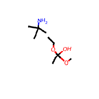 CC(C)(C)N.CCOC(C)(O)OC